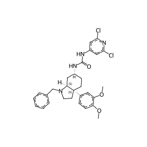 COc1ccc([C@@]23CC[C@@H](NC(=O)Nc4cc(Cl)nc(Cl)c4)C[C@@H]2N(Cc2ccccc2)CC3)cc1OC